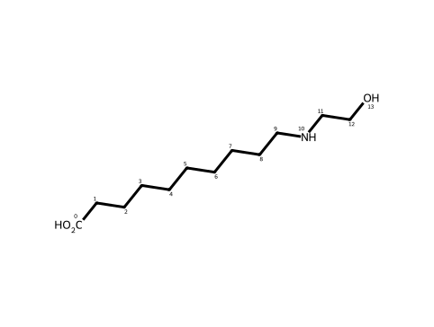 O=C(O)CCCCCCCCCNCCO